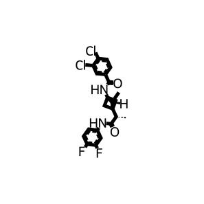 C[C@H](C(=O)Nc1ccc(F)c(F)c1)C12CC(NC(=O)c3ccc(Cl)c(Cl)c3)(C1)[C@@H]2C